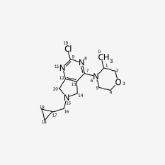 CC1COCCN1c1nc(Cl)nc2c1CN(CC1CC1)C2